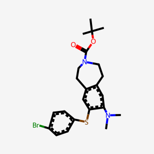 CN(C)c1cc2c(cc1Sc1ccc(Br)cc1)CCN(C(=O)OC(C)(C)C)CC2